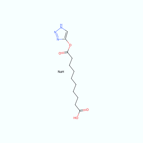 O=C(O)CCCCCCCCC(=O)Oc1c[nH]nn1.[NaH]